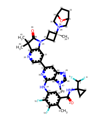 Cc1c(C(=O)NC2(C(F)F)CC2)cc(Nc2nc(-c3cnc4c(c3)N([C@H]3C[C@@](C)(N5CC6CCC(C5)O6)C3)C(=O)C4(C)C)cc3ncn(C(C)C)c23)c(F)c1F